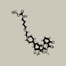 CC(C)(C)OC(=O)NCCCCOCCN1CCC(c2ccc3c(c2)-n2c(nc(=O)c4c(Cl)cccc42)C3(C)C)CC1